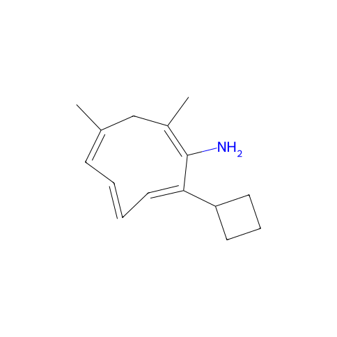 C/C1=C/C=C/C=C(C2CCC2)/C(N)=C(/C)C1